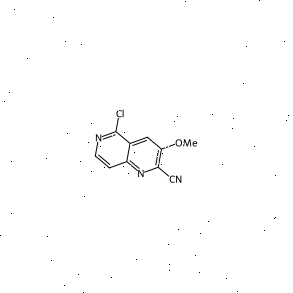 COc1cc2c(Cl)nccc2nc1C#N